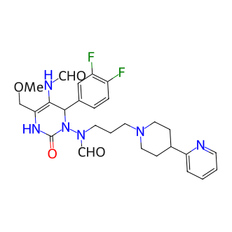 COCC1=C(NC=O)C(c2ccc(F)c(F)c2)N(N(C=O)CCCN2CCC(c3ccccn3)CC2)C(=O)N1